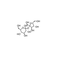 OC[C@@H]1O[C@@](CO)(OC2(O)O[C@H](CO)[C@@H](O)[C@H](O)[C@H]2O)[C@H](O)[C@H]1O